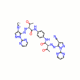 [C-]#[N+]c1cnn(-c2ncccn2)c1N=NC(C(C)=O)C(=O)Nc1ccc(NC(=O)C(N=Nc2c(C#N)cnn2-c2ncccn2)C(C)=O)cc1